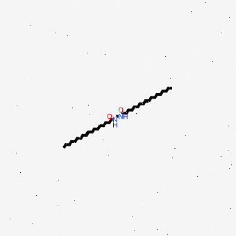 CCCCCCCCC=CCCCCCCCC(=O)NCNC(=O)CCCCCCCC=CCCCCCCCC